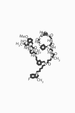 COc1ccc(C[C@H](NC(=O)[C@@H](N)[C@@H](C)O)C(=O)N2CCC[C@@]2(C)C(=O)NCCc2cccc(CN(CCCCCCn3cc(C)c4cc(F)ccc43)C(=O)CCN[C@@H](C)C(=O)NCC(=O)N[C@H]3Cc4cccc(c4)CNC(=O)CO[C@H]4CCN(C(=O)CNC3=O)C4C)c2)cc1